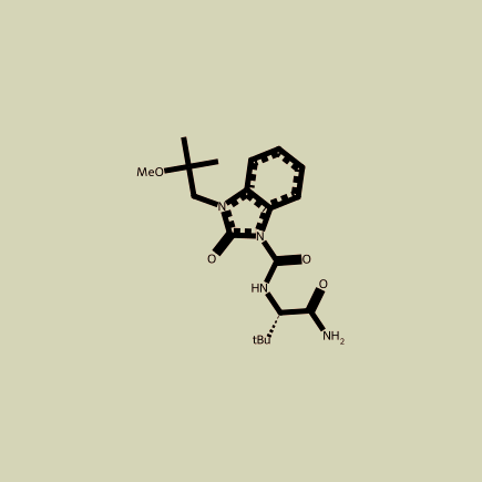 COC(C)(C)Cn1c(=O)n(C(=O)N[C@H](C(N)=O)C(C)(C)C)c2ccccc21